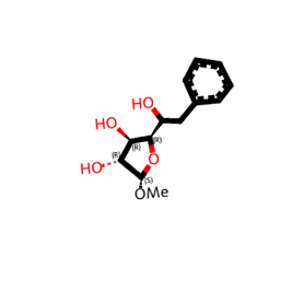 CO[C@H]1O[C@H](C(O)Cc2ccccc2)[C@H](O)[C@H]1O